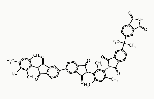 Cc1cc(C)c(N2C(=O)c3ccc(-c4ccc5c(c4)C(=O)N(c4c(C)cc(C)c(N6C(=O)c7ccc(C(c8ccc9c(c8)C(=O)NC9=O)(C(F)(F)F)C(F)(F)F)cc7C6=O)c4C)C5=O)cc3C2=O)c(C)c1C